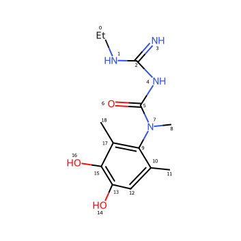 CCNC(=N)NC(=O)N(C)c1c(C)cc(O)c(O)c1C